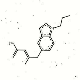 CCCn1ccc2cc(CC(C)=CC(=O)O)ccc21